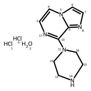 Cl.Cl.O.c1cn2ccnc2c(N2CCNCC2)n1